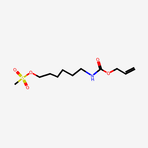 C=CCOC(=O)NCCCCCCOS(C)(=O)=O